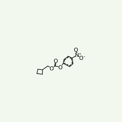 O=C(OCC1CCC1)Oc1ccc([N+](=O)[O-])cc1